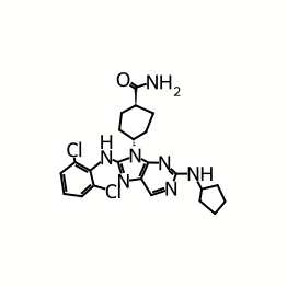 NC(=O)[C@H]1CC[C@H](n2c(Nc3c(Cl)cccc3Cl)nc3cnc(NC4CCCC4)nc32)CC1